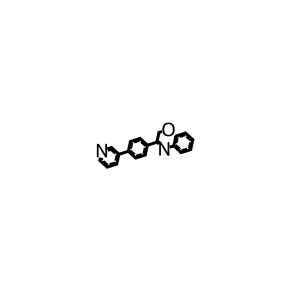 c1cncc(-c2ccc(C3=Nc4ccccc4OC3)cc2)c1